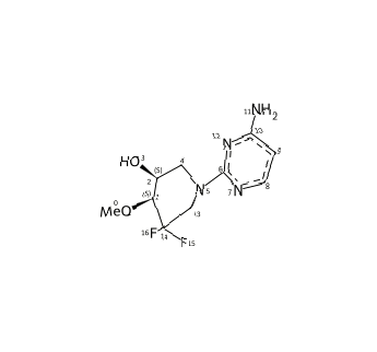 CO[C@H]1[C@@H](O)CN(c2nccc(N)n2)CC1(F)F